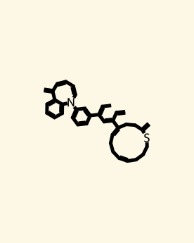 C=CC(=C\C(=C/C)c1cccc(N2/C=C\C=C/C(=C)c3ccccc32)c1)/C1=C/CC/C=C\CCCSC(=C)CC1